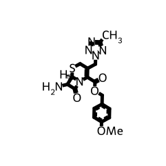 COc1ccc(COC(=O)C2=C(Cn3nnc(C)n3)CS[C@@H]3C(N)C(=O)N23)cc1